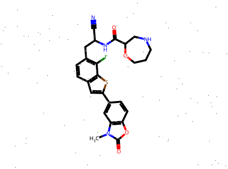 Cn1c(=O)oc2ccc(-c3cc4ccc(CC(C#N)NC(=O)C5CNCCCO5)c(F)c4s3)cc21